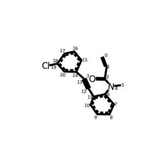 C=CC(=O)N(C)c1ccccc1C#Cc1cccc(Cl)c1